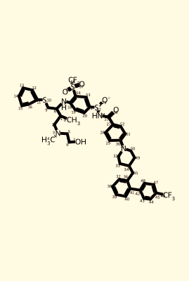 CC(CN(C)CCO)C(CSc1ccccc1)Nc1ccc([S+]([O-])NC(=O)c2ccc(N3CCC(Cc4ccccc4-c4ccc(C(F)(F)F)cc4)CC3)cc2)cc1S(=O)(=O)C(F)(F)F